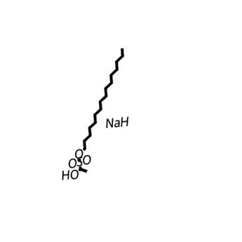 CCCCCCCCCCCCCCCCOS(=O)(=O)C(C)O.[NaH]